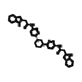 O=C(Cc1cc2ccccc2[nH]1)Nc1ccc([C@H]2CCC[C@H](c3ccc(NC(=O)Cc4cc5ccccc5[nH]4)nn3)C2)nn1